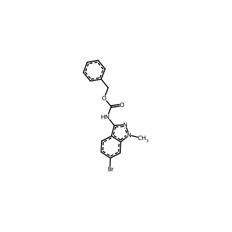 Cn1nc(NC(=O)OCc2ccccc2)c2ccc(Br)cc21